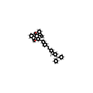 Cn1c2cc(/C=C/c3ccc4cc(-c5ccc6c(c5)C5(c7ccccc7-c7ccccc75)c5ccccc5C65c6ccccc6-c6ccccc65)ccc4c3)ccc2c2ccc(N(c3ccccc3)c3ccccc3)cc21